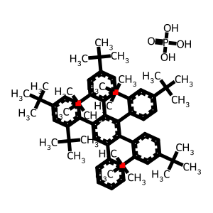 CC(C)(C)c1ccc(-c2cc(-c3ccccc3)c(-c3ccc(C(C)(C)C)cc3C(C)(C)C)c(-c3ccc(C(C)(C)C)cc3C(C)(C)C)c2-c2ccc(C(C)(C)C)cc2C(C)(C)C)c(C(C)(C)C)c1.O=P(O)(O)O